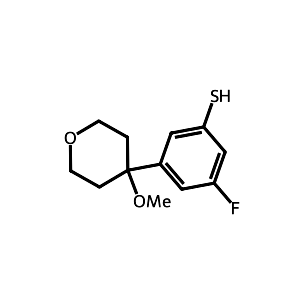 COC1(c2cc(F)cc(S)c2)CCOCC1